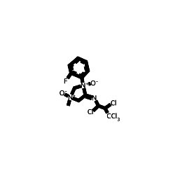 C[N+]1([O-])CC(=NC(Cl)C(Cl)C(Cl)(Cl)Cl)[N+]([O-])(c2ccccc2F)C1